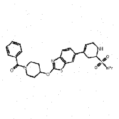 CCCS(=O)(=O)C1CC(c2ccc3nc(OC4CCN(C(=O)c5ccccc5)CC4)sc3c2)=CCN1